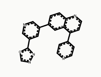 c1cc(-c2ccnc3ccc(-c4cncc(-c5nnco5)c4)cc23)ccn1